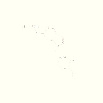 COc1ccc(Cn2ccc3cnc(C(=O)NO)cc32)cc1F